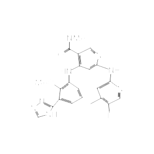 CNC(=O)c1cnc(Nc2cc(C)c(F)cn2)cc1Nc1cccc(-c2nnc[nH]2)c1OC